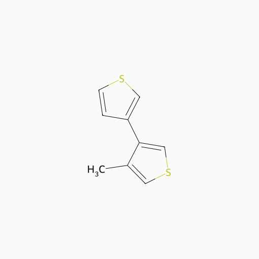 Cc1cscc1-c1ccsc1